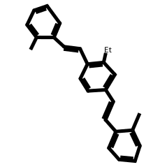 CCc1cc(C=Cc2ccccc2C)ccc1C=Cc1ccccc1C